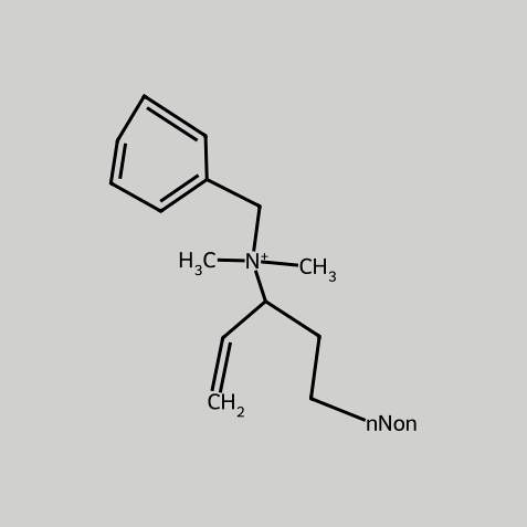 C=CC(CCCCCCCCCCC)[N+](C)(C)Cc1ccccc1